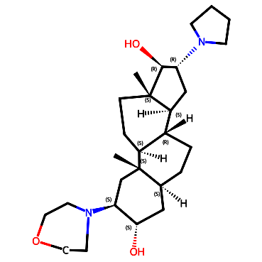 C[C@]12C[C@H](N3CCOCC3)[C@@H](O)C[C@@H]1CC[C@@H]1[C@@H]2CC[C@]2(C)[C@@H](O)[C@H](N3CCCC3)C[C@@H]12